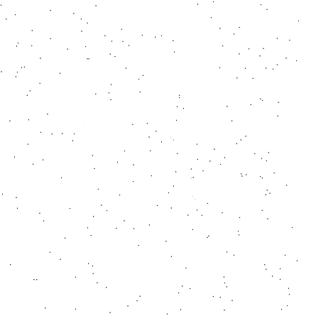 Cn1nc(C(=O)N2CCc3ccccc3C2c2ccc(C(F)(F)F)cc2)c2ccccc21